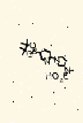 CN(C(=O)O)[C@H]1CCN(c2ccc(B3OC(C)(C)C(C)(C)O3)cn2)C1